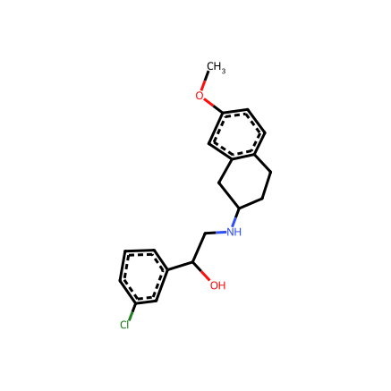 COc1ccc2c(c1)CC(NCC(O)c1cccc(Cl)c1)CC2